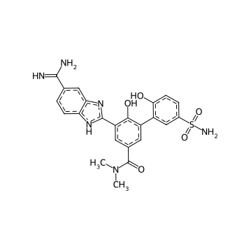 CN(C)C(=O)c1cc(-c2nc3cc(C(=N)N)ccc3[nH]2)c(O)c(-c2cc(S(N)(=O)=O)ccc2O)c1